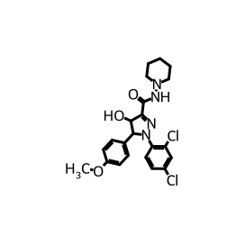 COc1ccc(C2C(O)C(C(=O)NN3CCCCC3)=NN2c2ccc(Cl)cc2Cl)cc1